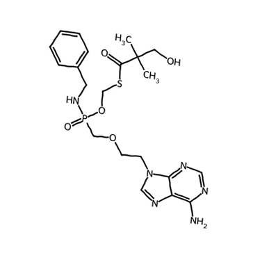 CC(C)(CO)C(=O)SCOP(=O)(COCCn1cnc2c(N)ncnc21)NCc1ccccc1